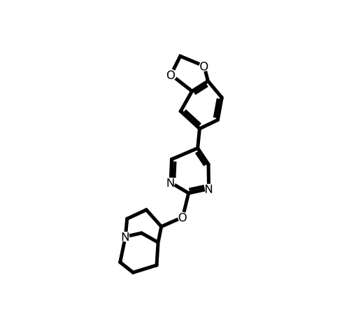 c1cc2c(cc1-c1cnc(OC3CCN4CCCC3C4)nc1)OCO2